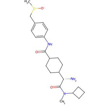 CN(C(=O)[C@@H](N)C1CCC(C(=O)Nc2ccc(C[S+](C)[O-])cc2)CC1)C1CCC1